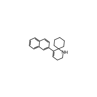 C1=C(c2ccc3ccccc3c2)C2(CCCCC2)NCC1